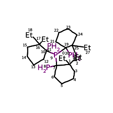 CCC1(CC)CCCCC1(P)P(C1(P)CCCCC1(CC)CC)C1(P)CCCCC1(CC)CC